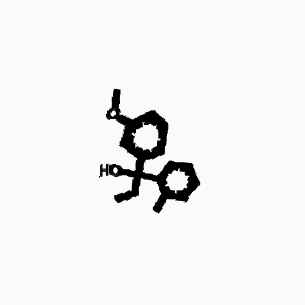 CCC(O)(c1cccc(OC)c1)c1ccccc1C